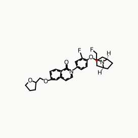 O=c1c2ccc(OCC3CCCO3)cc2ccn1-c1ccc(OC2C[C@H]3CC[C@@H](C2)N3CCF)c(F)c1